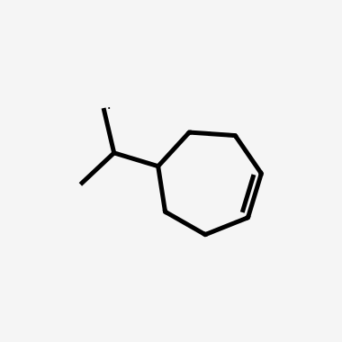 [CH2]C(C)C1CCC=CCC1